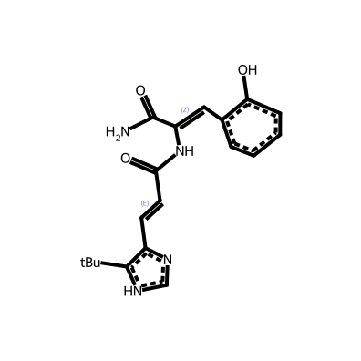 CC(C)(C)c1[nH]cnc1/C=C/C(=O)N/C(=C\c1ccccc1O)C(N)=O